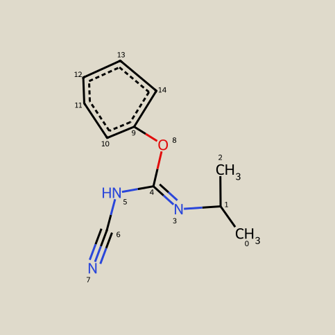 CC(C)/N=C(/NC#N)Oc1ccccc1